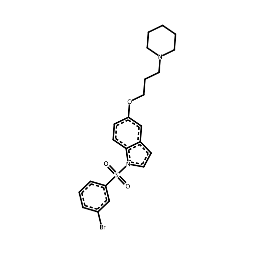 O=S(=O)(c1cccc(Br)c1)n1ccc2cc(OCCCN3CCCCC3)ccc21